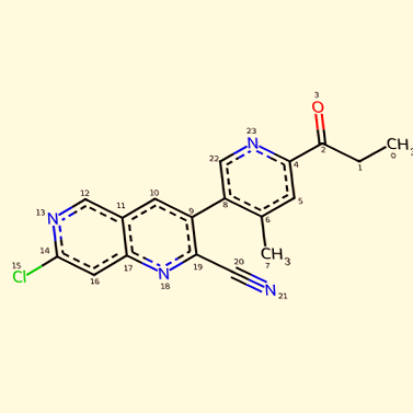 CCC(=O)c1cc(C)c(-c2cc3cnc(Cl)cc3nc2C#N)cn1